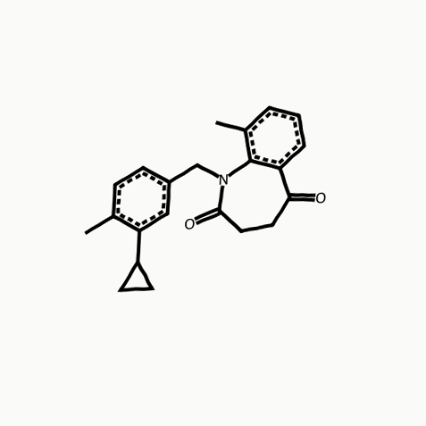 Cc1ccc(CN2C(=O)CCC(=O)c3cccc(C)c32)cc1C1CC1